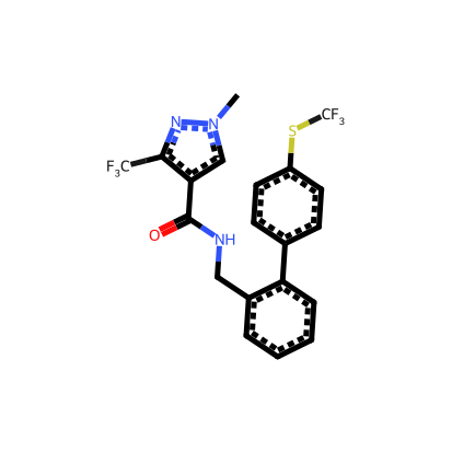 Cn1cc(C(=O)NCc2ccccc2-c2ccc(SC(F)(F)F)cc2)c(C(F)(F)F)n1